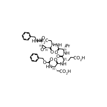 CC(C)[C@H](NC(=O)[C@H](CCC(=O)O)NC(=O)[C@H](CC(=O)O)NC(=O)OCc1ccccc1)C(=O)NN(CC(=O)O)C(=O)[C@H]1O[C@@H]1C(=O)NCc1ccccc1